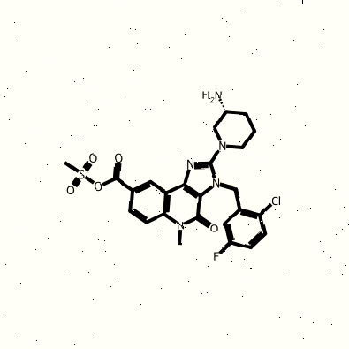 Cn1c(=O)c2c(nc(N3CCC[C@@H](N)C3)n2Cc2cc(F)ccc2Cl)c2cc(C(=O)OS(C)(=O)=O)ccc21